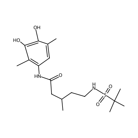 Cc1cc(NC(=O)CC(C)CCNS(=O)(=O)C(C)(C)C)c(C)c(O)c1O